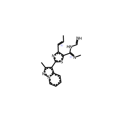 C/C=C/c1nc(-c2c(C)nn3ccccc23)sc1/C(=N/C)NC=N